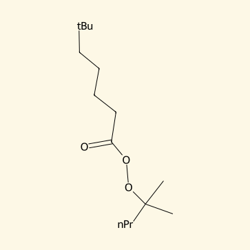 CCCC(C)(C)OOC(=O)CCCCC(C)(C)C